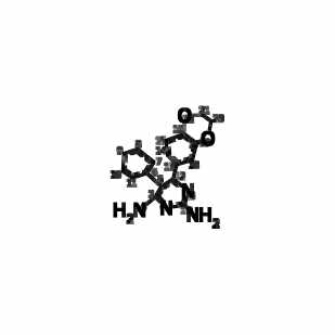 Nc1nc(N)c(-c2ccccc2)c(-c2ccc3c(c2)OCCO3)n1